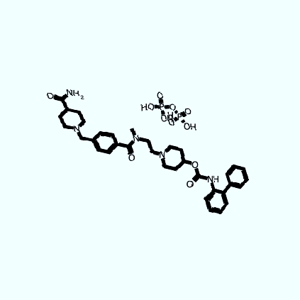 CN(CCN1CCC(OC(=O)Nc2ccccc2-c2ccccc2)CC1)C(=O)c1ccc(CN2CCC(C(N)=O)CC2)cc1.O=P(O)(O)OP(=O)(O)O